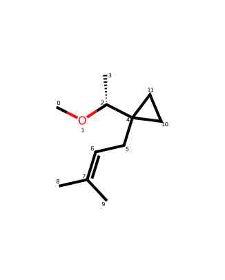 CO[C@H](C)C1(CC=C(C)C)CC1